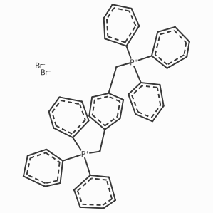 [Br-].[Br-].c1ccc([P+](Cc2ccc(C[P+](c3ccccc3)(c3ccccc3)c3ccccc3)cc2)(c2ccccc2)c2ccccc2)cc1